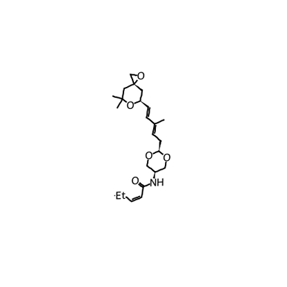 C[CH]/C=C\C(=O)N[C@H]1CO[C@@H](C/C=C(C)/C=C/[C@@H]2C[C@]3(CO3)CC(C)(C)O2)OC1